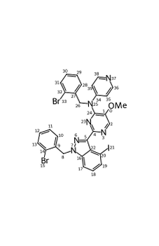 COc1cnc(-c2nn(Cc3ccccc3Br)c3cccc(I)c23)nc1N(Cc1ccccc1Br)c1ccncc1